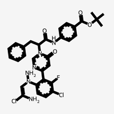 CC(C)(C)OC(=O)c1ccc(NC(=O)C(Cc2ccccc2)n2cnc(-c3c(N(N)/C=C(\N)Cl)ccc(Cl)c3F)cc2=O)cc1